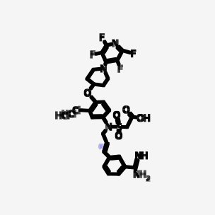 Cl.Cl.N=C(N)c1cccc(/C=C/CN(c2ccc(OC3CCN(c4c(F)c(F)nc(F)c4F)CC3)c(Cl)c2)S(=O)(=O)CC(=O)O)c1